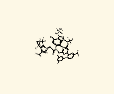 CS(=O)(=O)Nc1nn(CC(F)(F)F)c2c(-n3c([C@H](Cc4cc(F)cc(F)c4)NC(=O)Cn4nc(C(F)F)c5c4C(F)(F)[C@@H]4C[C@H]54)nc(-c4nccc(C(F)F)n4)cc3=O)ccc(Cl)c12